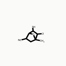 CC12CC(C#N)C(O1)C(S)C2Cl